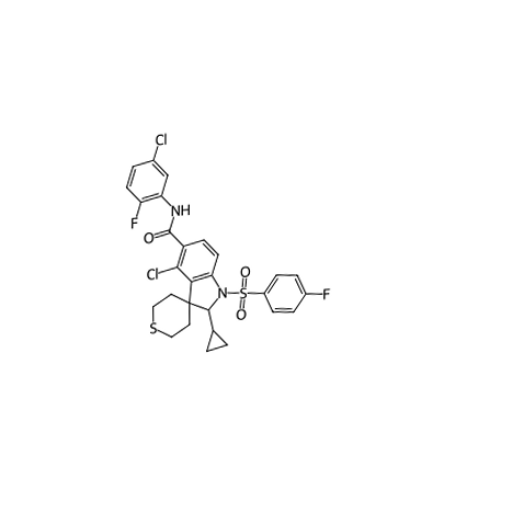 O=C(Nc1cc(Cl)ccc1F)c1ccc2c(c1Cl)C1(CCSCC1)C(C1CC1)N2S(=O)(=O)c1ccc(F)cc1